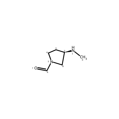 CN[C@@H]1CCN(C=O)C1